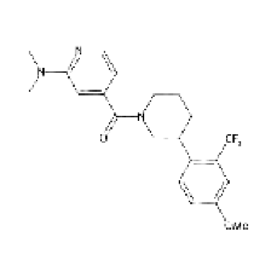 COc1ccc(C2CCCN(C(=O)c3ccnc(N(C)C)c3)C2)c(C(F)(F)F)c1